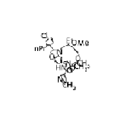 CCCc1cc(Cl)ccc1C1COc2ccc3cc2N(CCC(CC)C(OC)/C=C/COC(C)(C)C(=O)/N=S/3NC(=O)c2cnn(C)c2)C1